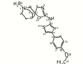 B[N+]12CCC(CC1)C1(CN=C(Nc3nc(-c4ccc(OC)cc4)cs3)O1)C2